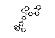 c1ccc2c(c1)-c1cc(-c3ccc(N(c4ccc(-c5cccc6c5oc5ccccc56)cc4)c4cccc5ccccc45)cc3)ccc1C21C2CC3CC(C2)CC1C3